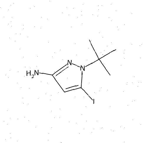 CC(C)(C)n1nc(N)cc1I